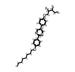 CCCCCCCCOc1ccc(-c2ncc(-c3ccc(OCC(F)C(C)CC)cc3)cn2)cc1